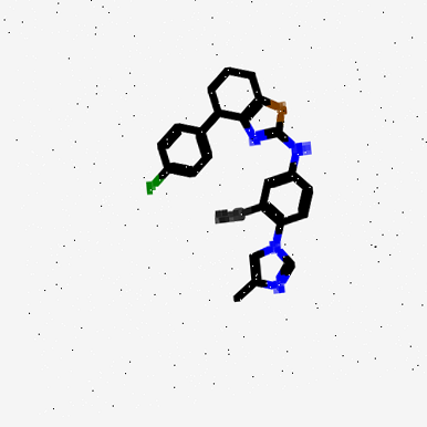 COc1cc(Nc2nc3c(s2)CCCC3c2ccc(F)cc2)ccc1-n1cnc(C)c1